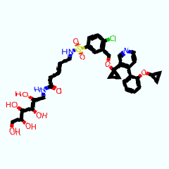 O=C(CCCCNS(=O)(=O)c1ccc(Cl)c(COC2(c3cnccc3-c3ccccc3OC3CC3)CC2)c1)NCC(O)C(O)C(O)C(O)CO